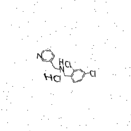 Cl.Clc1ccc(CNCc2cccnc2)c(Cl)c1